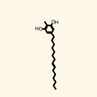 CCCCCC/C=C/CCCCCCCc1cc(O)c(C)c(O)c1